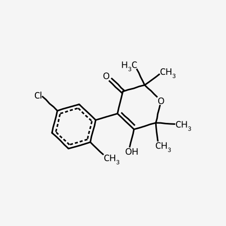 Cc1ccc(Cl)cc1C1=C(O)C(C)(C)OC(C)(C)C1=O